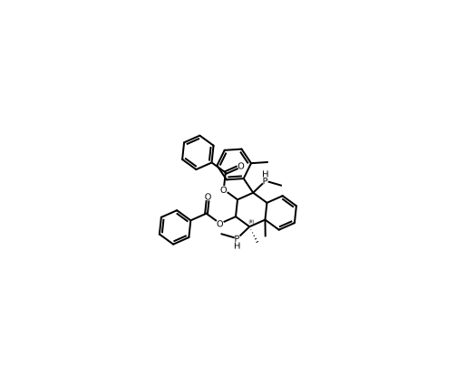 CPC1(c2ccccc2C)C(OC(=O)c2ccccc2)C(OC(=O)c2ccccc2)[C@](C)(PC)C2(C)C=CC=CC12